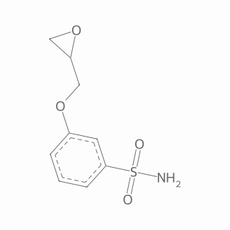 NS(=O)(=O)c1cccc(OCC2CO2)c1